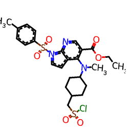 CCOC(=O)c1cnc2c(ccn2S(=O)(=O)c2ccc(C)cc2)c1N(C)C1CCC(CS(=O)(=O)Cl)CC1